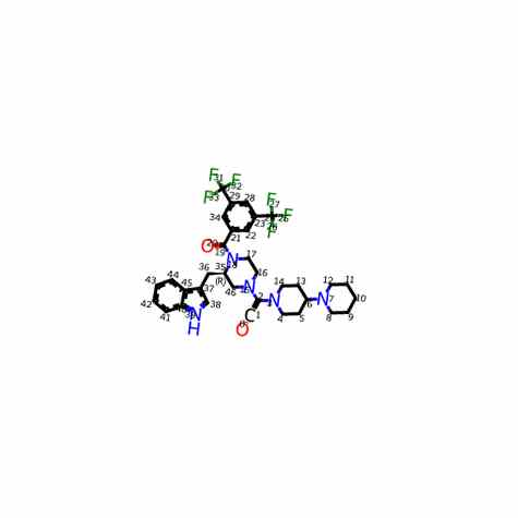 O=C=C(N1CCC(N2CCCCC2)CC1)N1CCN(C(=O)c2cc(C(F)(F)F)cc(C(F)(F)F)c2)[C@H](Cc2c[nH]c3ccccc23)C1